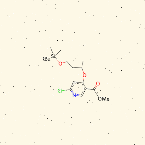 COC(=O)c1cnc(Cl)cc1O[C@@H](C)CCO[Si](C)(C)C(C)(C)C